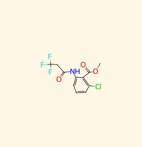 COC(=O)c1c(Cl)cccc1NC(=O)CC(F)(F)F